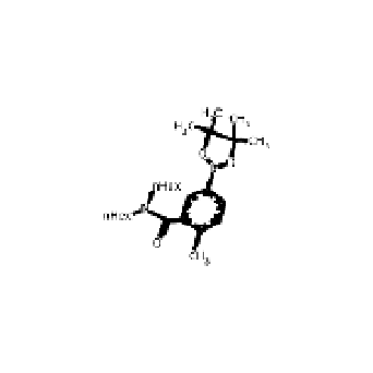 CCCCCCN(CCCCCC)C(=O)c1cc(B2OC(C)(C)C(C)(C)O2)ccc1C